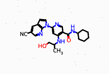 CC(CO)Nc1cc(-n2ccc3cc(C#N)cnc32)ncc1C(=O)NC1CCCCC1